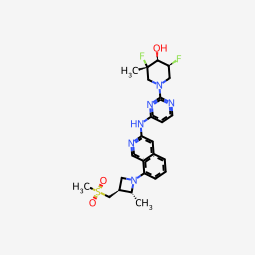 C[C@@H]1[C@@H](CS(C)(=O)=O)CN1c1cccc2cc(Nc3ccnc(N4C[C@H](F)[C@H](O)[C@@](C)(F)C4)n3)ncc12